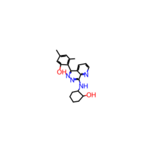 Cc1cc(C)c(-c2nnc(NC3CCCCC3O)c3ncccc23)c(O)c1